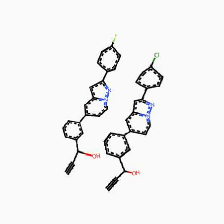 C#CC(O)c1cccc(-c2ccn3nc(-c4ccc(Cl)cc4)cc3c2)c1.C#CC(O)c1cccc(-c2ccn3nc(-c4ccc(F)cc4)cc3c2)c1